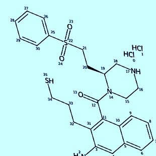 Cl.Cl.Nc1cc2ccccc2c(C(=O)N2CCNC[C@@H]2CCS(=O)(=O)c2ccccc2)c1CCCS